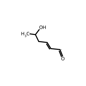 CC(O)CC=C[C]=O